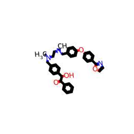 CN(CCN(C)Cc1ccc(C(O)C(=O)c2ccccc2)cc1)Cc1ccc(Oc2ccc(-c3ncco3)cc2)cc1